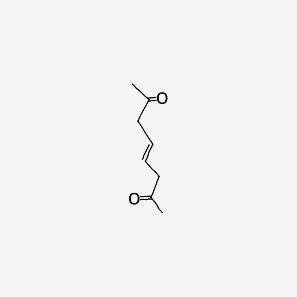 CC(=O)C/C=C/CC(C)=O